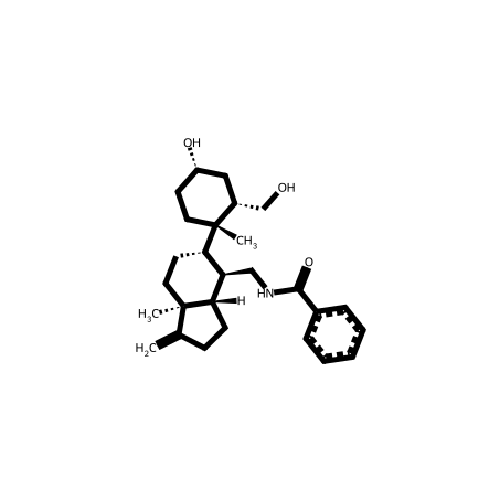 C=C1CC[C@H]2[C@H](CNC(=O)c3ccccc3)[C@@H]([C@]3(C)CC[C@H](O)C[C@@H]3CO)CC[C@]12C